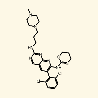 CN1CCN(CCCNc2ncc3cc(-c4c(Cl)cccc4Cl)c(NC4=NCCCO4)nc3n2)CC1